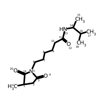 CC1CC(=O)N(CCCCCC(=O)NC(C)C(C)C)C1=O